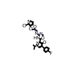 C=N/C(=N\C=C(/C)Oc1ccnc(Cl)c1Cl)NC(=O)c1nn(C(C)C)cc(-c2ccc(F)cc2)c1=O